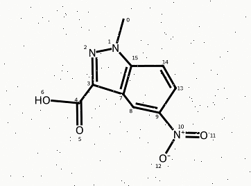 Cn1nc(C(=O)O)c2cc([N+](=O)[O-])ccc21